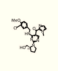 COc1ccc(CNc2nc(N3CCC[C@H]3CO)ncc2C(=O)c2nccn2C)cc1Cl